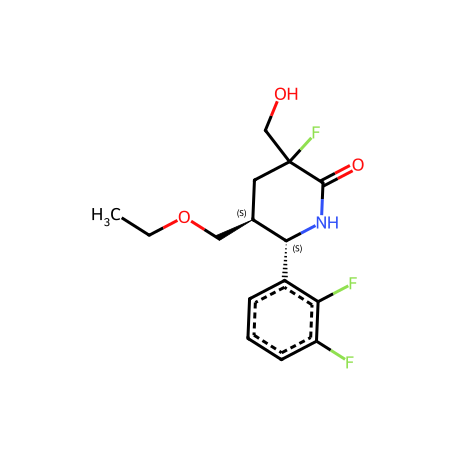 CCOC[C@H]1CC(F)(CO)C(=O)N[C@@H]1c1cccc(F)c1F